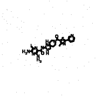 Cc1nc(-c2cccnc2)sc1C(=O)N1CCC2(CC1)CN/C(=N\C(=O)c1nc(I)c(N)nc1N)N2